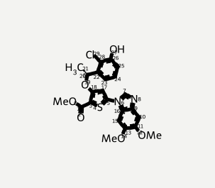 COC(=O)c1sc(-n2cnc3cc(OC)c(OC)cc32)cc1O[C@H](C)c1cccc(O)c1Cl